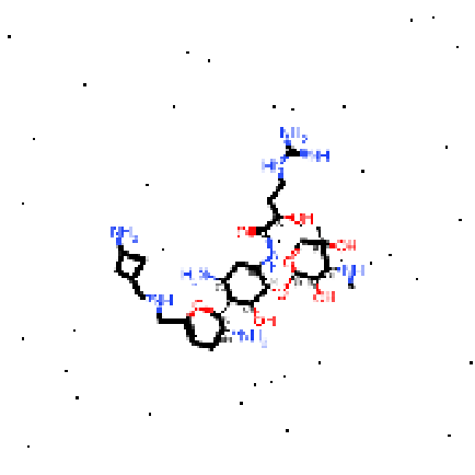 CN[C@@H]1[C@@H](O)[C@@H](O[C@H]2[C@H](NC(=O)[C@@H](O)CCNC(=N)N)C[C@H](N)C([C@H]3OC(CNCC4CC(N)C4)=CC[C@H]3N)[C@@H]2O)OC[C@]1(C)O